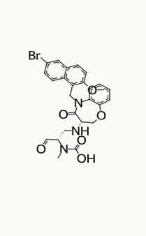 COc1ccc2cc(Br)ccc2c1CN1C(=O)[C@@H](NC[C@@H](C=O)N(C)C(=O)O)COc2ccccc21